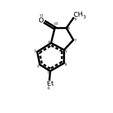 CCc1ccc2c(c1)CC(C)C2=O